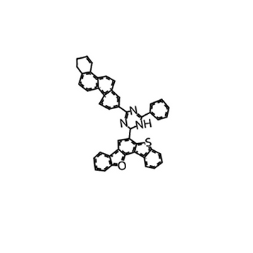 C1=Cc2c(ccc3c2ccc2cc(C4=NC(c5cc6c7ccccc7oc6c6c5sc5ccccc56)NC(c5ccccc5)=N4)ccc23)CC1